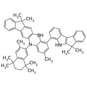 Cc1cc(-c2cccc3c4c([nH]c23)C(C)(C)c2ccccc2-4)c2c(c1)N(c1cc3c(cc1C)C(C)(C)CCC3(C)C)c1cc3c(cc1B2)C(C)(C)c1ccccc1-3